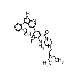 CCN(CC)CCN1CCN(C(=O)c2cc(-c3cnc4[nH]cc(-c5ccccc5OC)c4c3)cc(F)c2N)CC1